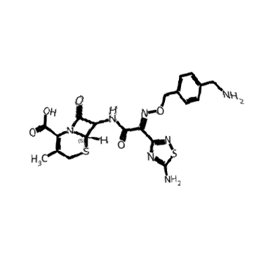 CC1=C(C(=O)O)N2C(=O)C(NC(=O)C(=NOCc3ccc(CN)cc3)c3nsc(N)n3)[C@@H]2SC1